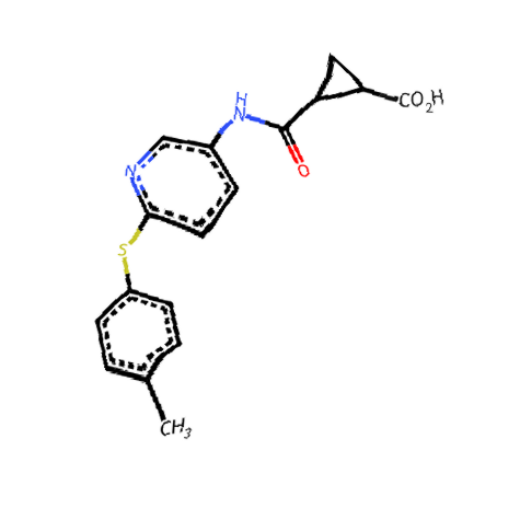 Cc1ccc(Sc2ccc(NC(=O)C3CC3C(=O)O)cn2)cc1